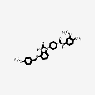 COc1ccc(CSc2cccc3c2[nH]c(=O)n3[C@H]2CC[C@@H](C(=O)Nc3ccc(C)c(OC)c3)CC2)cc1